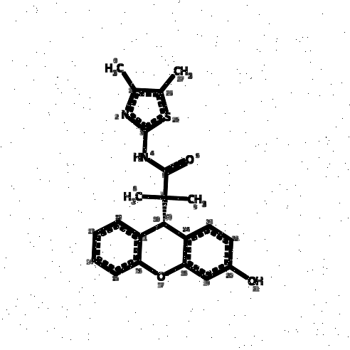 Cc1nc(NC(=O)C(C)(C)[C@H]2c3ccccc3Oc3cc(O)ccc32)sc1C